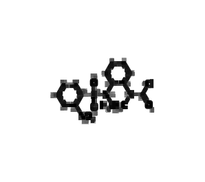 CN(C(=O)Cl)c1ccccc1N(C)S(=O)(=O)c1ccccc1[N+](=O)[O-]